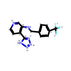 FC(F)(F)c1ccc(CNc2cnccc2-c2nnn[nH]2)cc1